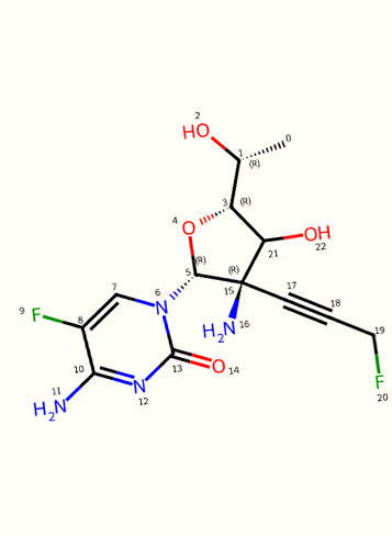 C[C@@H](O)[C@H]1O[C@@H](n2cc(F)c(N)nc2=O)[C@@](N)(C#CCF)C1O